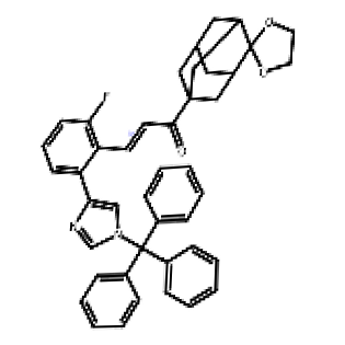 O=C(/C=C/c1c(F)cccc1-c1cn(C(c2ccccc2)(c2ccccc2)c2ccccc2)cn1)C12CC3CC(C1)C1(OCCO1)C(C3)C2